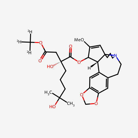 [2H]C([2H])([2H])OC(=O)C[C@](O)(CCCC(C)(C)O)C(=O)OC1C(OC)=CC23CCCN2CCc2cc4c(cc2[C@H]13)OCO4